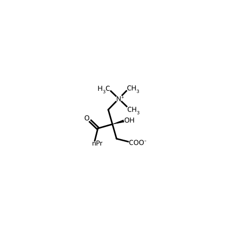 CCCC(=O)[C@@](O)(CC(=O)[O-])C[N+](C)(C)C